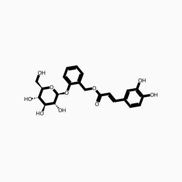 O=C(/C=C/c1ccc(O)c(O)c1)OCc1ccccc1O[C@@H]1O[C@H](CO)[C@@H](O)[C@H](O)[C@H]1O